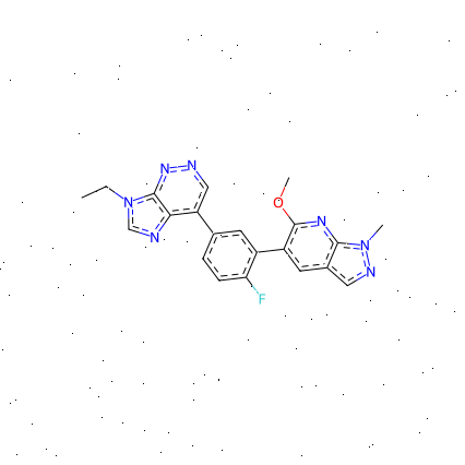 CCn1cnc2c(-c3ccc(F)c(-c4cc5cnn(C)c5nc4OC)c3)cnnc21